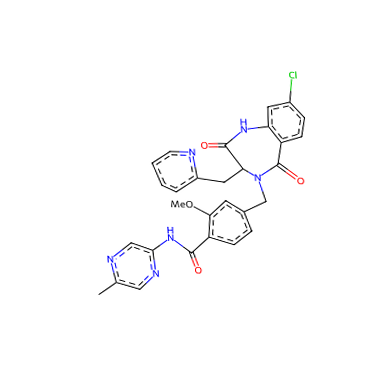 COc1cc(CN2C(=O)c3ccc(Cl)cc3NC(=O)C2Cc2ccccn2)ccc1C(=O)Nc1cnc(C)cn1